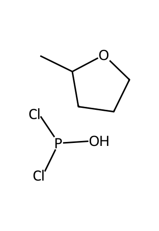 CC1CCCO1.OP(Cl)Cl